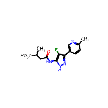 Cc1ccc(-c2n[nH]c(NC(=O)CC(C)C(=O)O)c2F)cn1